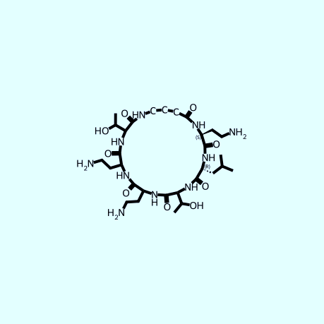 CC(C)C[C@H]1NC(=O)[C@H](CCN)NC(=O)CCCNC(=O)C(C(C)O)NC(=O)C(CCN)NC(=O)C(CCN)NC(=O)C(C(C)O)NC1=O